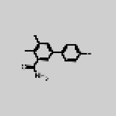 CCc1ccc(-c2cc(C)c(C)c(C(N)=O)c2)cc1